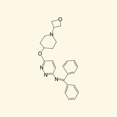 c1ccc(C(=Nc2ccc(OC3CCN(C4COC4)CC3)nn2)c2ccccc2)cc1